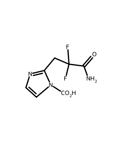 NC(=O)C(F)(F)Cc1nccn1C(=O)O